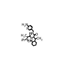 CC(C1CCCCC1)[C@@H](NC(=O)[C@H](C)N(C)C(C)C)C(=O)NCc1ccc(N)nc1